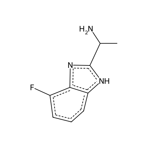 CC(N)c1nc2c(F)cccc2[nH]1